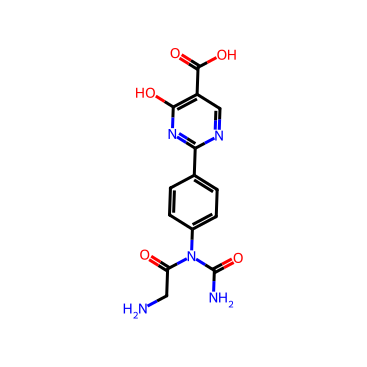 NCC(=O)N(C(N)=O)c1ccc(-c2ncc(C(=O)O)c(O)n2)cc1